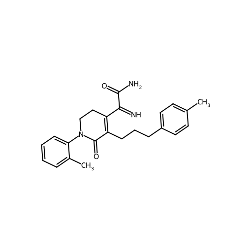 Cc1ccc(CCCC2=C(C(=N)C(N)=O)CCN(c3ccccc3C)C2=O)cc1